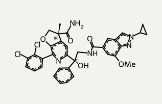 COc1cc(C(=O)NC[C@@](O)(c2ccccc2)c2cc3c(c(-c4cccc(Cl)c4Cl)n2)OC[C@]3(C)C(N)=O)cc2cn(C3CC3)nc12